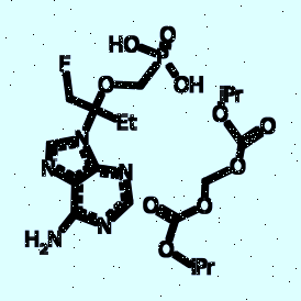 CC(C)OC(=O)OCOC(=O)OC(C)C.CCC(CF)(OCP(=O)(O)O)n1cnc2c(N)ncnc21